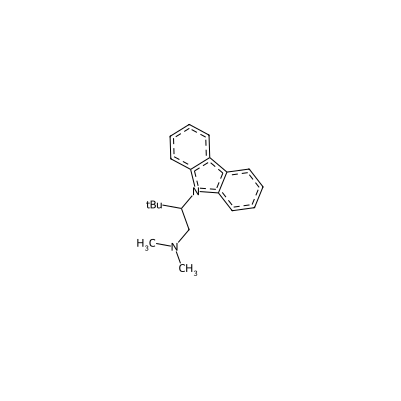 CN(C)CC(n1c2ccccc2c2ccccc21)C(C)(C)C